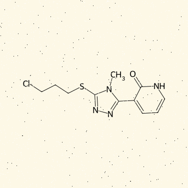 Cn1c(SCCCCl)nnc1-c1ccc[nH]c1=O